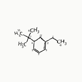 CCC1=CC=C[C](C(C)(C)C)C1